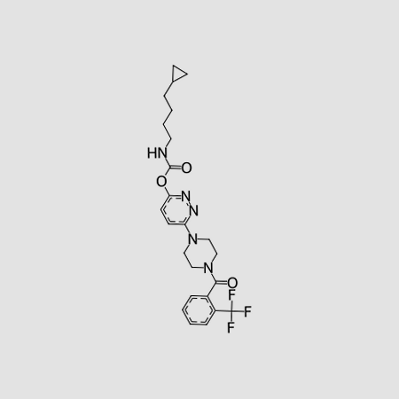 O=C(NCCCCC1CC1)Oc1ccc(N2CCN(C(=O)c3ccccc3C(F)(F)F)CC2)nn1